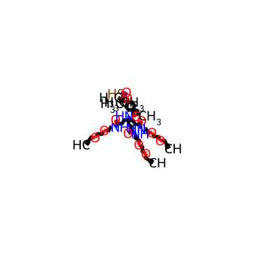 C#CCOCCOCCNC(=O)CCC(CCC(=O)NCCOCCOCC#C)(CCC(=O)NCCOCCOCC#C)NC(=O)C1(CCC)CCC(C)(OP(=O)(S)C(C)(C)C)CC1